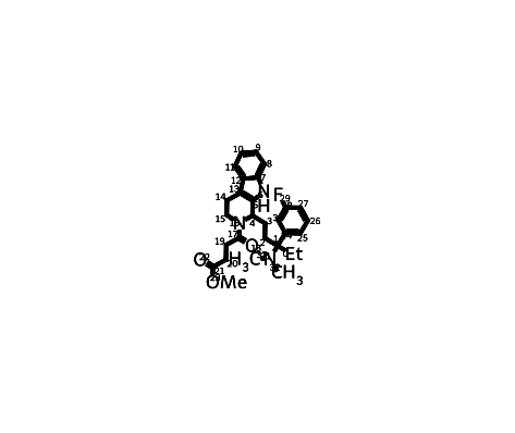 CCC(CCC1c2[nH]c3ccccc3c2CCN1C(=O)CCC(=O)OC)(c1cccc(F)c1)N(C)C